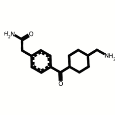 NCC1CCC(C(=O)c2ccc(CC(N)=O)cc2)CC1